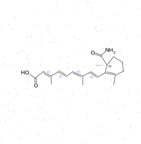 CC1=C(/C=C/C(C)=C/C=C/C(C)=C/C(=O)O)[C@@](C)(C(N)=O)CCC1